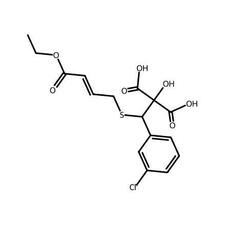 CCOC(=O)/C=C/CSC(c1cccc(Cl)c1)C(O)(C(=O)O)C(=O)O